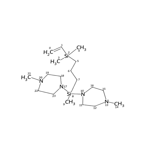 C=C[Si](C)(C)CCC[Si](C)(N1CCN(C)CC1)N1CCN(C)CC1